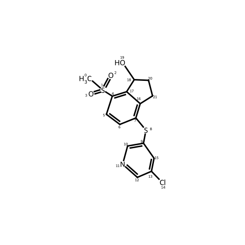 CS(=O)(=O)c1ccc(Sc2cncc(Cl)c2)c2c1C(O)CC2